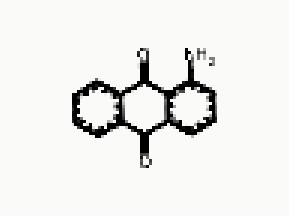 Nc1cccc2c1C(=O)c1ccccc1C2=O